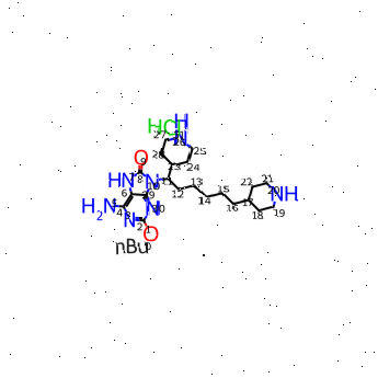 CCCCOc1nc(N)c2[nH]c(=O)n(C(CCCCCC3CCNCC3)C3CCNCC3)c2n1.Cl